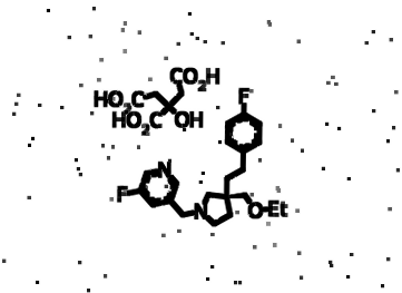 CCOC[C@@]1(CCc2ccc(F)cc2)CCN(Cc2cncc(F)c2)C1.O=C(O)CC(O)(CC(=O)O)C(=O)O